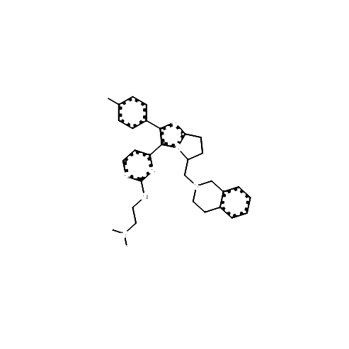 CN(C)CCNc1nccc(-c2c(-c3ccc(F)cc3)nc3n2C(CN2CCc4ccccc4C2)CC3)n1